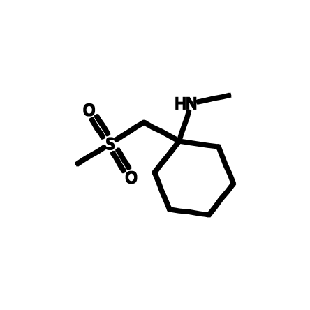 CNC1(CS(C)(=O)=O)CCCCC1